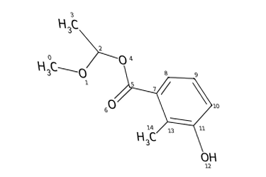 COC(C)OC(=O)c1cccc(O)c1C